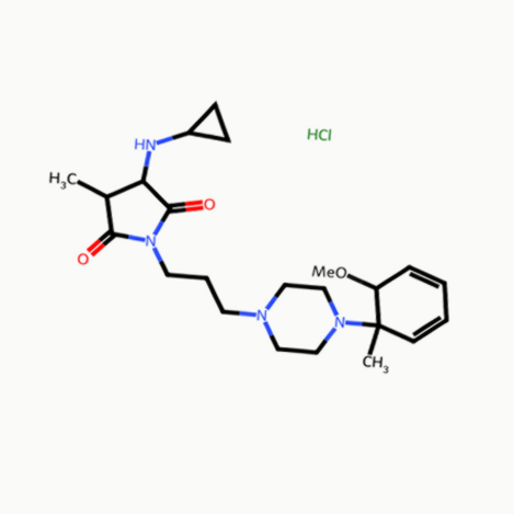 COC1C=CC=CC1(C)N1CCN(CCCN2C(=O)C(C)C(NC3CC3)C2=O)CC1.Cl